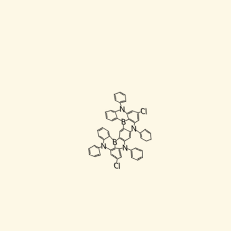 Clc1cc2c3c(c1)N(c1ccccc1)c1ccccc1B3c1cc3c(cc1N2C1=CCCC=C1)N(c1ccccc1)c1cc(Cl)cc2c1B3c1ccccc1N2c1ccccc1